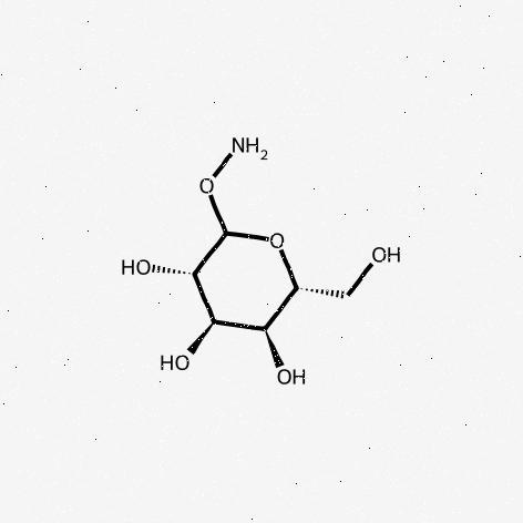 NOC1O[C@H](CO)[C@@H](O)[C@@H](O)[C@@H]1O